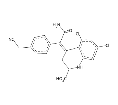 N#CCc1ccc(/C(C(N)=O)=C2\CC(C(=O)O)Nc3cc(Cl)cc(Cl)c32)cc1